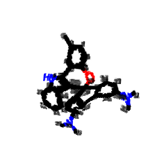 Cc1ccc2c(c1)-c1[nH]c3ccccc3c1C1(O2)c2ccc(N(C)C)cc2-c2cc(N(C)C)ccc21